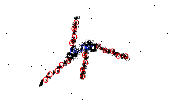 C#CCOCCOCCOCCOCCOc1ccc2c(c1)C(C)(C)\C(=C/C=C\C=C/C1=[N+](CCOCCOCCOCCOC)c3ccc(OCCOCCOCCOCCOC)cc3C1(C)C)N2CCOCCOCCOCCOCC